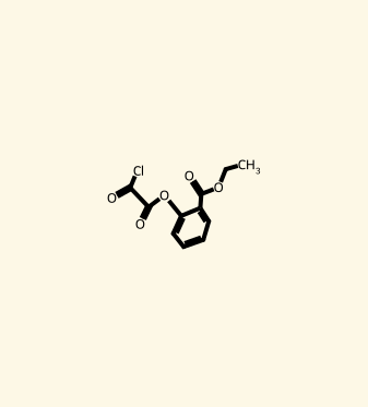 CCOC(=O)c1ccccc1OC(=O)C(=O)Cl